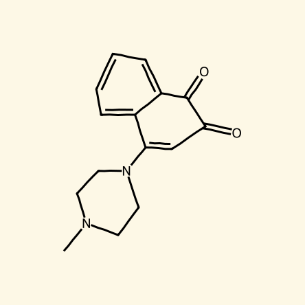 CN1CCN(C2=CC(=O)C(=O)c3ccccc32)CC1